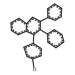 Clc1ccc(-c2c(-c3ccccc3)c(-c3ccccc3)cc3ccccc23)cc1